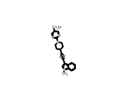 CCOC(=O)c1cnc(N2CCC(C3N4C(c5cn(C)c6ccccc56)N34)CC2)nc1